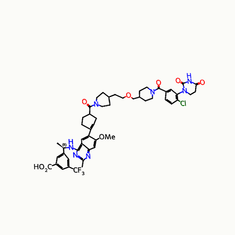 COc1cc2nc(C)nc(N[C@H](C)c3cc(C(=O)O)cc(C(F)(F)F)c3)c2cc1C1=CCC(C(=O)N2CCC(CCOCC3CCN(C(=O)c4ccc(Cl)c(N5CCC(=O)NC5=O)c4)CC3)CC2)CC1